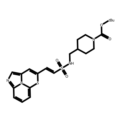 CC(C)(C)OC(=O)N1CCC(CNS(=O)(=O)C=CC2=Cc3cnc4cccc(n34)S2)CC1